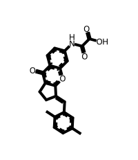 Cc1ccc(C)c(C=C2CCc3c2oc2cc(NC(=O)C(=O)O)ccc2c3=O)c1